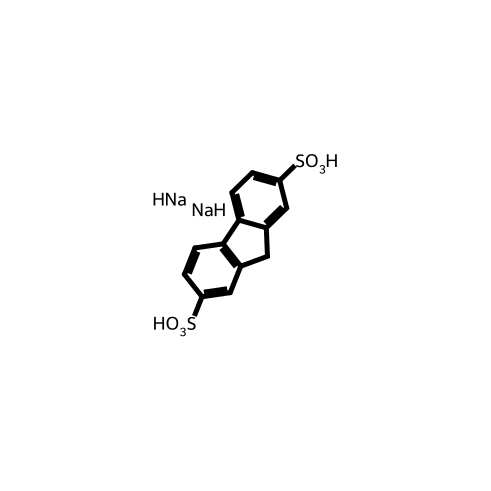 O=S(=O)(O)c1ccc2c(c1)Cc1cc(S(=O)(=O)O)ccc1-2.[NaH].[NaH]